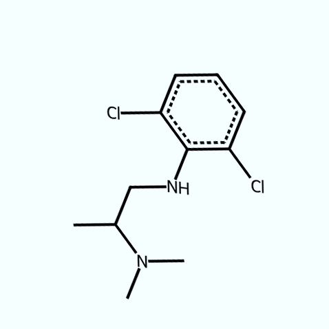 CC(CNc1c(Cl)cccc1Cl)N(C)C